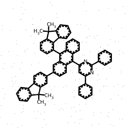 CC1(C)c2ccccc2-c2ccc(-c3ccc4c(-c5cc(-c6ccccc6)nc(-c6ccccc6)n5)c5ccccc5c(-c5cccc6c5-c5ccccc5C6(C)C)c4c3)cc21